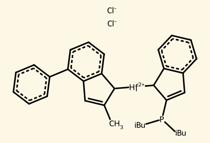 CCC(C)P(C1=Cc2ccccc2[CH]1[Hf+2][CH]1C(C)=Cc2c(-c3ccccc3)cccc21)C(C)CC.[Cl-].[Cl-]